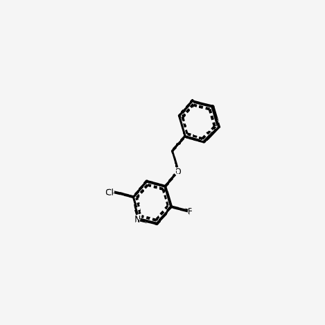 Fc1cnc(Cl)cc1OCc1ccccc1